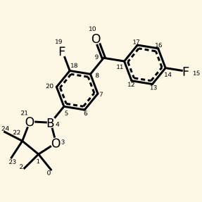 CC1(C)OB(c2ccc(C(=O)c3ccc(F)cc3)c(F)c2)OC1(C)C